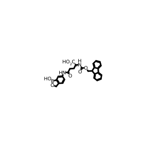 O=C(CC[C@H](NC(=O)OCC1c2ccccc2-c2ccccc21)C(=O)O)Nc1ccc2c(c1)B(O)OC2